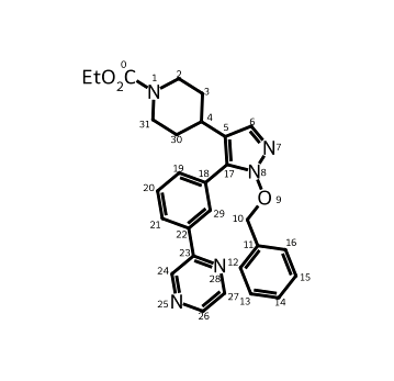 CCOC(=O)N1CCC(c2cnn(OCc3ccccc3)c2-c2cccc(-c3cnccn3)c2)CC1